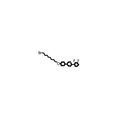 Fc1cccc(-c2ccc(-c3ccc(OCCCCCCCCCBr)cc3)cc2)c1F